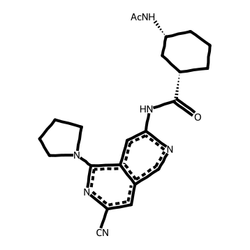 CC(=O)N[C@@H]1CCC[C@H](C(=O)Nc2cc3c(N4CCCC4)nc(C#N)cc3cn2)C1